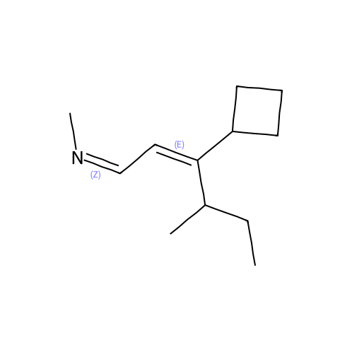 CCC(C)/C(=C\C=N/C)C1CCC1